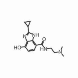 CN(C)CCNC(=O)c1ccc(O)c2nc(C3CC3)[nH]c12